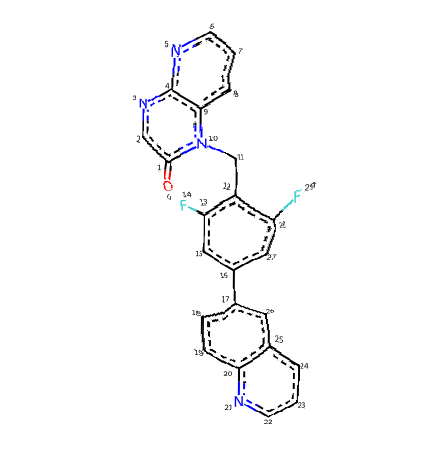 O=c1cnc2ncccc2n1Cc1c(F)cc(-c2ccc3ncccc3c2)cc1F